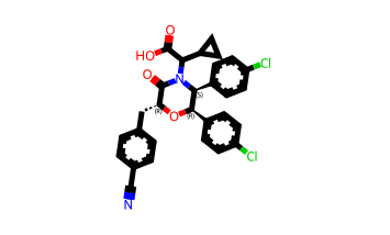 N#Cc1ccc(C[C@H]2O[C@H](c3ccc(Cl)cc3)[C@H](c3ccc(Cl)cc3)N(C(C(=O)O)C3CC3)C2=O)cc1